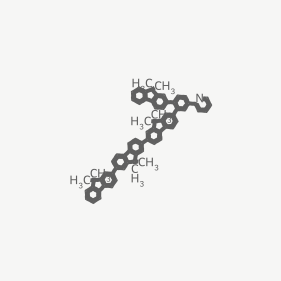 CC1(C)c2ccccc2-c2ccc(-c3ccc4c(c3)C(C)(C)c3cc(-c5ccc6c(c5)C(C)(C)c5cc(-c7cc(-c8ccccn8)ccc7-c7ccc8c(c7)C(C)(C)c7ccccc7-8)ccc5-6)ccc3-4)cc21